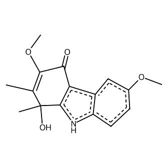 COC1=C(C)C(C)(O)c2[nH]c3ccc(OC)cc3c2C1=O